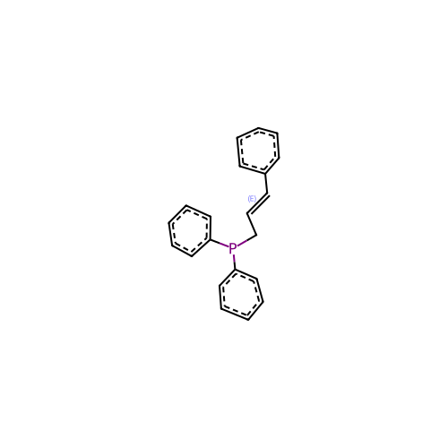 C(=C\c1ccccc1)/CP(c1ccccc1)c1ccccc1